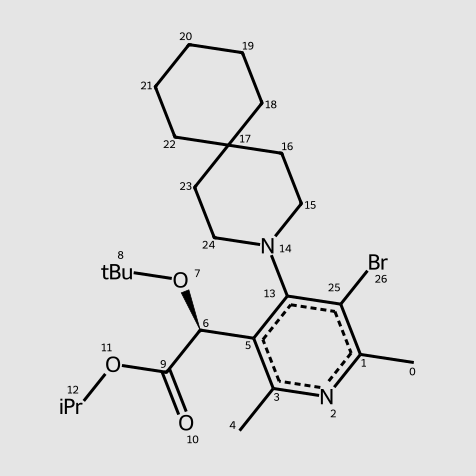 Cc1nc(C)c([C@H](OC(C)(C)C)C(=O)OC(C)C)c(N2CCC3(CCCCC3)CC2)c1Br